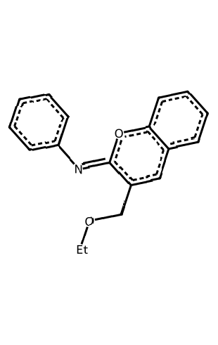 CCOCc1cc2ccccc2oc1=Nc1ccccc1